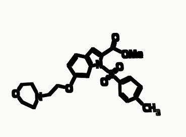 COC(=O)c1cc2ccc(OCCN3CCOCC3)cc2n1S(=O)(=O)c1ccc(C)cc1